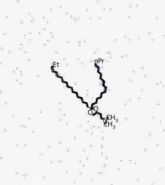 CC/C=C\C=C\CCCCCCCCCCCC[C@@]1(CCCCC/C=C\C=C\CCC/C=C/CCC)OCC(CCN(C)C)O1